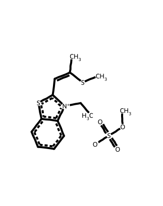 CC[n+]1c(C=C(C)SC)sc2ccccc21.COS(=O)(=O)[O-]